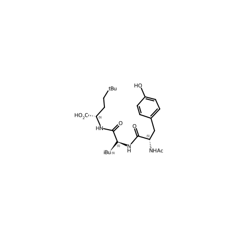 CC[C@H](C)[C@H](NC(=O)[C@H](Cc1ccc(O)cc1)NC(C)=O)C(=O)N[C@@H](CCC(C)(C)C)C(=O)O